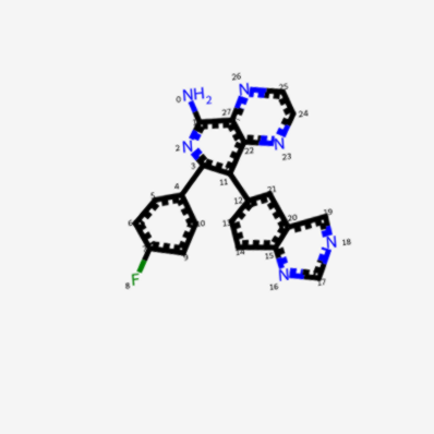 Nc1nc(-c2ccc(F)cc2)c(-c2ccc3ncncc3c2)c2nccnc12